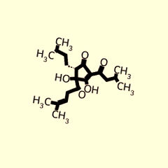 CC(C)=CCC(=O)C1(O)C(O)=C(C(=O)CC(C)C)C(=O)[C@H]1CCC(C)C